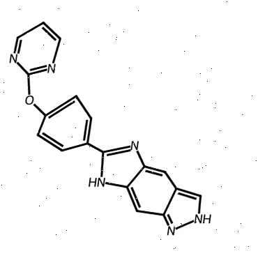 c1cnc(Oc2ccc(-c3nc4cc5c[nH]nc5cc4[nH]3)cc2)nc1